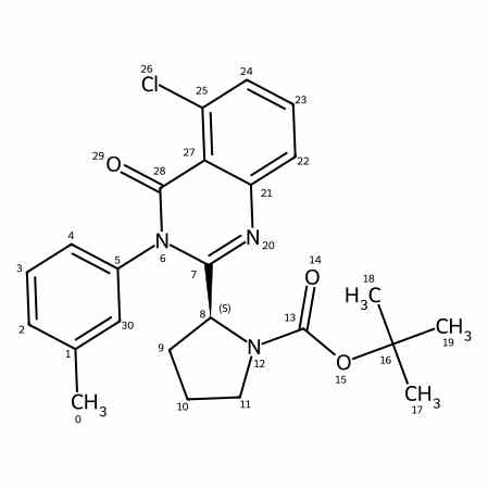 Cc1cccc(-n2c([C@@H]3CCCN3C(=O)OC(C)(C)C)nc3cccc(Cl)c3c2=O)c1